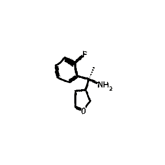 C[C@@](N)(c1ccccc1F)C1CCOC1